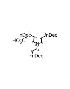 CC(=O)O.CCCCCCCCCCCCN(CCCCCCCCCCCC)CCCCCCCCCCCC